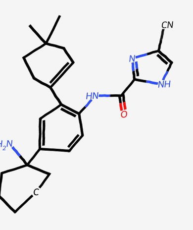 CC1(C)CC=C(c2cc(C3(N)CCCCC3)ccc2NC(=O)c2nc(C#N)c[nH]2)CC1